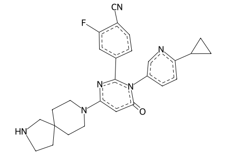 N#Cc1ccc(-c2nc(N3CCC4(CCNC4)CC3)cc(=O)n2-c2ccc(C3CC3)nc2)cc1F